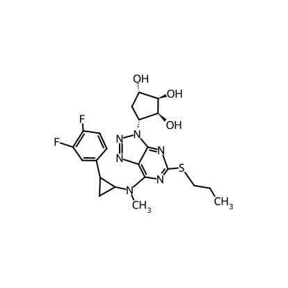 CCCSc1nc(N(C)C2CC2c2ccc(F)c(F)c2)c2nnn([C@@H]3C[C@H](O)[C@@H](O)[C@H]3O)c2n1